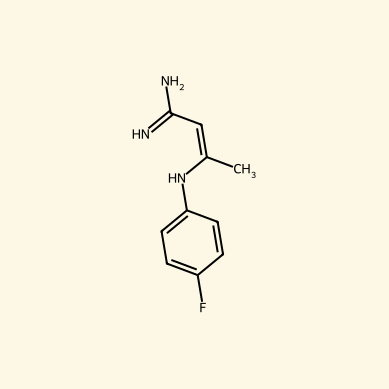 C/C(=C/C(=N)N)Nc1ccc(F)cc1